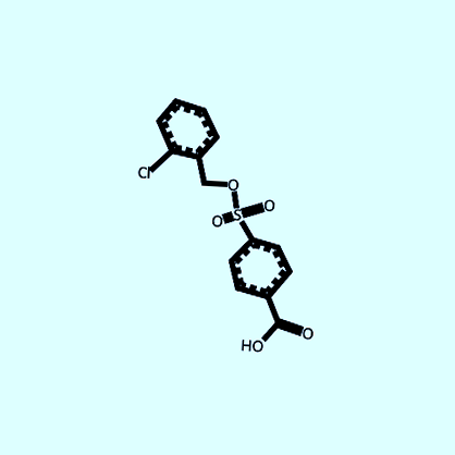 O=C(O)c1ccc(S(=O)(=O)OCc2ccccc2Cl)cc1